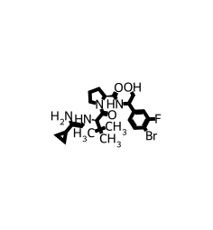 CC(C)(C)[C@H](N/C=C(\N)C1CC1)C(=O)N1CCC[C@H]1C(=O)NC(CO)c1ccc(Br)c(F)c1